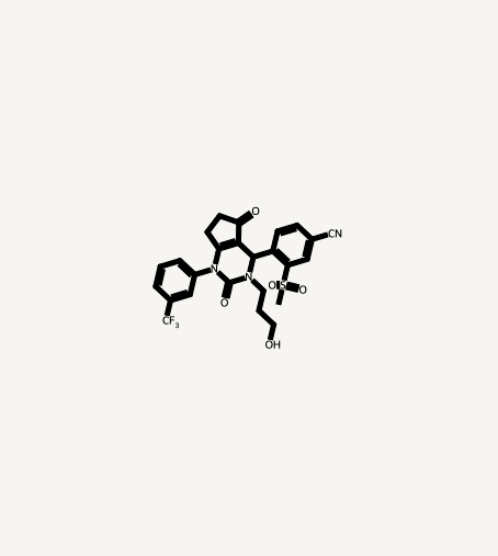 CS(=O)(=O)c1cc(C#N)ccc1C1C2=C(CCC2=O)N(c2cccc(C(F)(F)F)c2)C(=O)N1CCCO